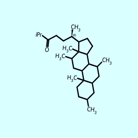 CC1CCC2(C)C(C1)CC(C)C1C2CC(C)C2(C)C1CCC2[C@H](C)CCC(=O)C(C)C